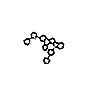 c1ccc(-c2ccc(-n3c4ccccc4c4ccc5c6ccc(-c7cccc(-c8ccccn8)n7)cc6c6ccccc6c5c43)cc2)cc1